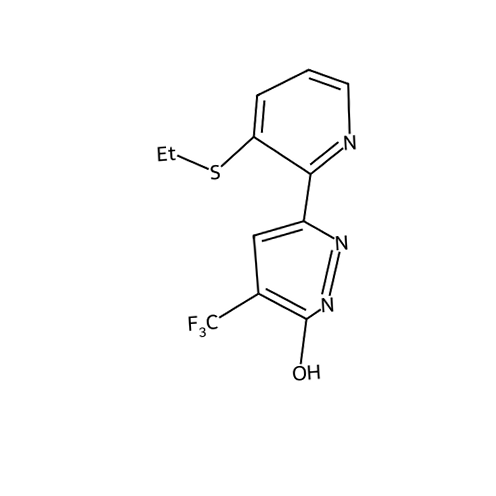 CCSc1cccnc1-c1cc(C(F)(F)F)c(O)nn1